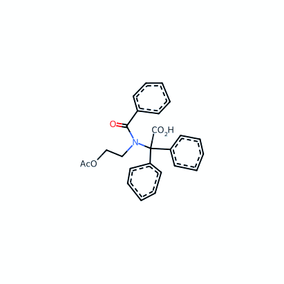 CC(=O)OCCN(C(=O)c1ccccc1)C(C(=O)O)(c1ccccc1)c1ccccc1